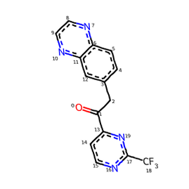 O=C(Cc1ccc2nccnc2c1)c1ccnc(C(F)(F)F)n1